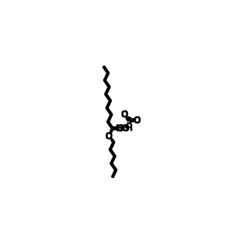 CCCCCCCCCC(=O)OCCCCCC.O=[SH](=O)O